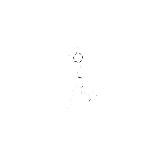 NCCCC[C@H](NC(=O)CCc1ccc(O)c(I)c1)C(=O)N[C@H]1CCSC1=O